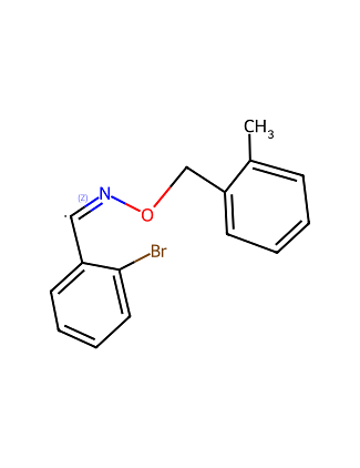 Cc1ccccc1CO/N=[C]\c1ccccc1Br